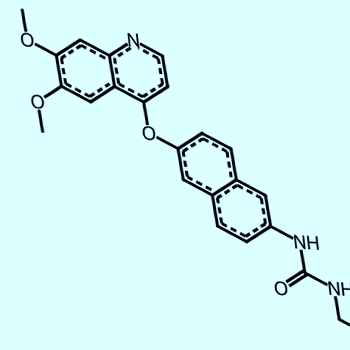 CCCNC(=O)Nc1ccc2cc(Oc3ccnc4cc(OC)c(OC)cc34)ccc2c1